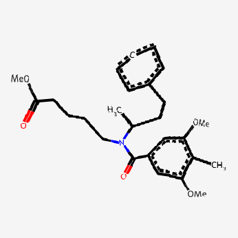 COC(=O)CCCCN(C(=O)c1cc(OC)c(C)c(OC)c1)C(C)CCc1ccccc1